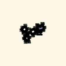 CCC1(C2CCC(N(c3ccccc3)C3CCCCC3)CC2)/C=C\CC/C=C/C1